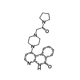 O=C(CN1CCN(c2ccnc3[nH]c(=O)c4ccccc4c23)CC1)N1CCCC1